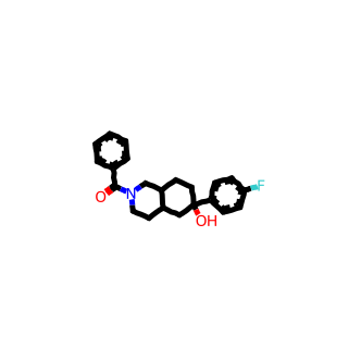 O=C(c1ccccc1)N1CCC2CC(O)(c3ccc(F)cc3)CCC2C1